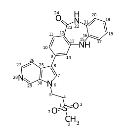 CS(=O)(=O)CCn1cc(-c2ccc3c(c2)Nc2ccccc2NC3=O)c2ccncc21